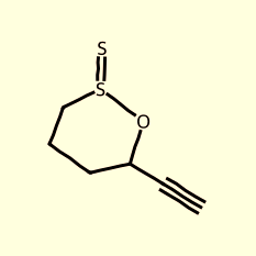 C#CC1CCCS(=S)O1